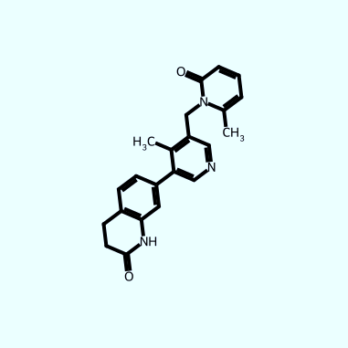 Cc1c(Cn2c(C)cccc2=O)cncc1-c1ccc2c(c1)NC(=O)CC2